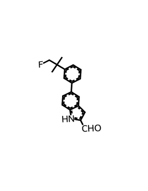 CC(C)(CF)c1cccc(-c2ccc3[nH]c(C=O)cc3c2)c1